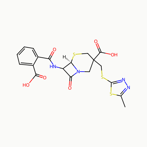 Cc1nnc(SCC2(C(=O)O)CS[C@@H]3C(NC(=O)c4ccccc4C(=O)O)C(=O)N3C2)s1